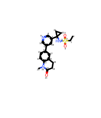 CCS(=O)(=O)NC1(c2cncc(-c3ccc4c(c3)CCC(=O)N4C)c2)CC1